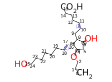 C=CCO[C@@H]1C[C@H](O)C(C/C=C\CCCC(=O)O)[C@H]1/C=C/CCCCCCO